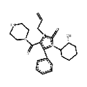 C=CCn1c(C(=O)N2CCNCC2)c(-c2ccccc2)n(C2CCCC[C@H]2O)c1=O